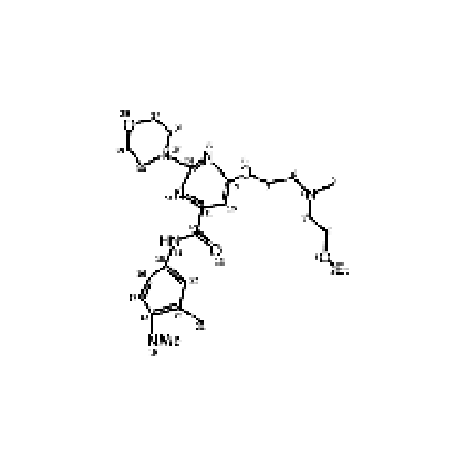 CCOCCN(C)CCOc1cc(C(=O)Nc2ccc(NC)c(C)c2)nc(N2CCOCC2)n1